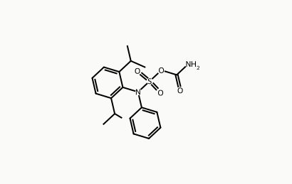 CC(C)c1cccc(C(C)C)c1N(c1ccccc1)S(=O)(=O)OC(N)=O